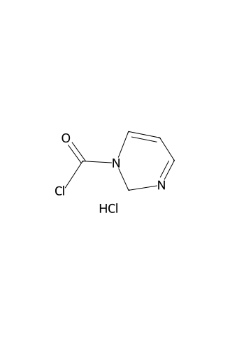 Cl.O=C(Cl)N1C=CC=NC1